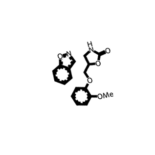 COc1ccccc1OCC1CNC(=O)O1.c1ccc2oncc2c1